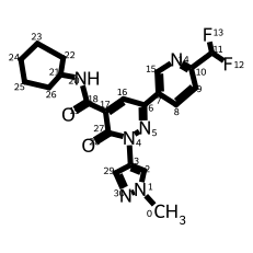 Cn1cc(-n2nc(-c3ccc(C(F)F)nc3)cc(C(=O)NC3CCCCC3)c2=O)cn1